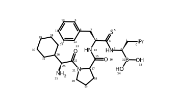 CC(C)C[C@H](NC(=S)[C@H](Cc1ccccc1)NC(=O)C1CCCN1C(=O)[C@@H](N)C1CCCCC1)B(O)O